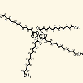 CCCCCCCCCCCCC(=O)[O][Ti]([O]C(=O)CCCCCCCCCCCC)([O]C(=O)CCCCCCCCCCCC)[O]C(=O)CCCCCCCCCCCC